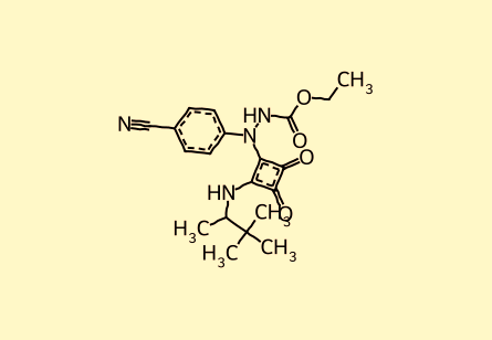 CCOC(=O)NN(c1ccc(C#N)cc1)c1c(NC(C)C(C)(C)C)c(=O)c1=O